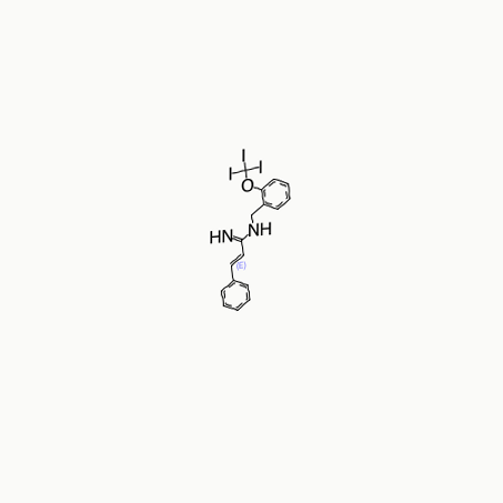 N=C(/C=C/c1ccccc1)NCc1ccccc1OC(I)(I)I